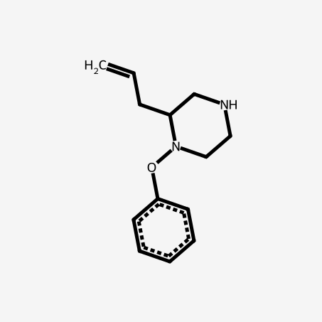 C=CCC1CNCCN1Oc1ccccc1